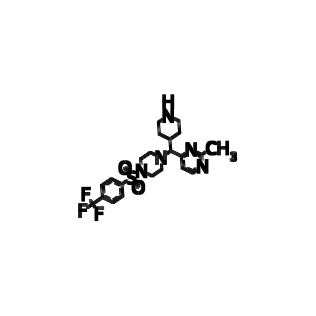 Cc1nccc(C(C2CCNCC2)N2CCN(S(=O)(=O)c3ccc(C(F)(F)F)cc3)CC2)n1